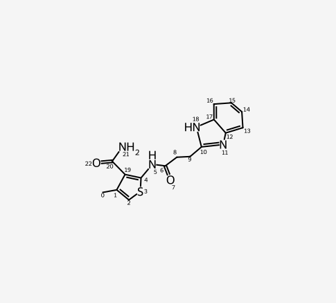 Cc1csc(NC(=O)CCc2nc3ccccc3[nH]2)c1C(N)=O